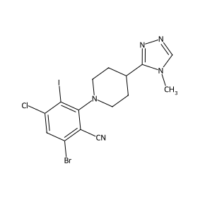 Cn1cnnc1C1CCN(c2c(I)c(Cl)cc(Br)c2C#N)CC1